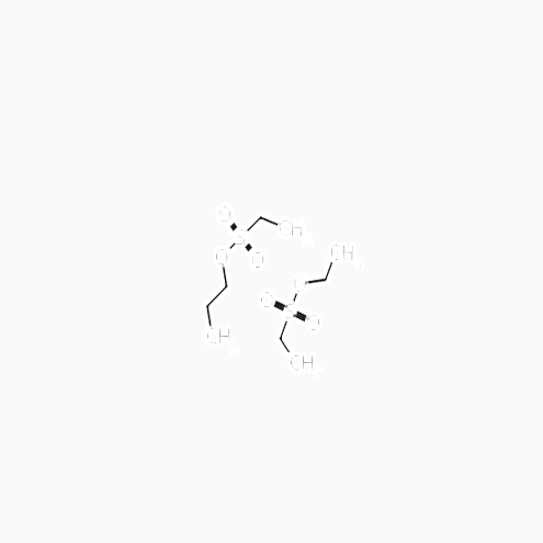 CCCOS(=O)(=O)CC.CCOS(=O)(=O)CC